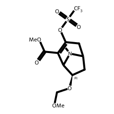 COCO[C@@H]1CC2CC(OS(=O)(=O)C(F)(F)F)=C(C(=O)OC)C1N2C